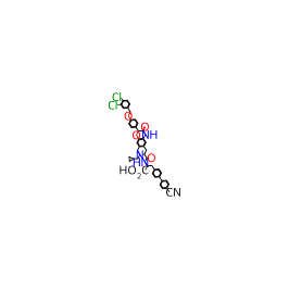 N#Cc1ccc(-c2ccc(CC(NC(=O)C3Cc4cc5c(cc4CN3CC3CC3)OC(c3ccc(OCc4ccc(Cl)c(Cl)c4)cc3)C(=O)N5)C(=O)O)cc2)cc1